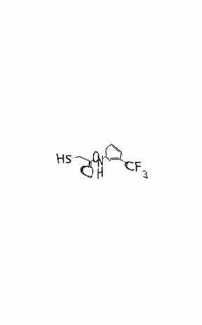 O=C(CS)ONc1cccc(C(F)(F)F)c1